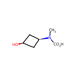 CN(C(=O)O)[C@H]1C[C@@H](O)C1